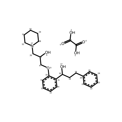 O=C(O)C(=O)O.OC(COc1ccccc1C(O)CCc1ccccc1)CN1CCCCC1